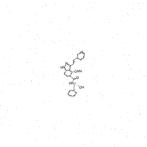 COc1c(C(=O)N[C@H](CO)c2ccccc2)ccc2[nH]nc(/C=C/c3cccnc3)c12